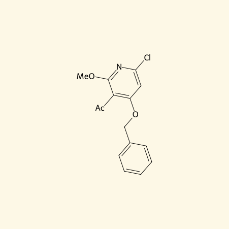 COc1nc(Cl)cc(OCc2ccccc2)c1C(C)=O